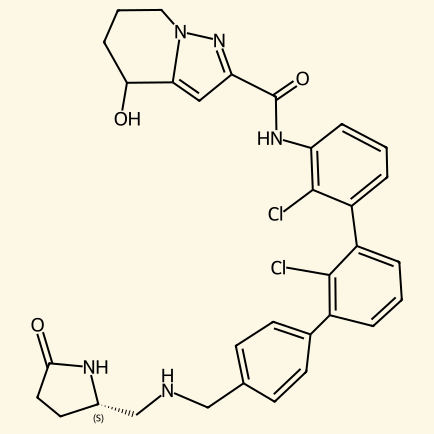 O=C1CC[C@@H](CNCc2ccc(-c3cccc(-c4cccc(NC(=O)c5cc6n(n5)CCCC6O)c4Cl)c3Cl)cc2)N1